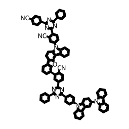 N#Cc1ccc(-c2nc(-c3ccccc3)nc(-c3ccc(-n4c5ccccc5c5c6oc7c(-c8cc(-c9nc(-c%10ccccc%10)nc(-c%10ccc(-n%11c%12ccccc%12c%12cc(-n%13c%14ccccc%14c%14ccccc%14%13)ccc%12%11)cc%10)n9)ccc8C#N)cccc7c6ccc54)cc3C#N)n2)cc1